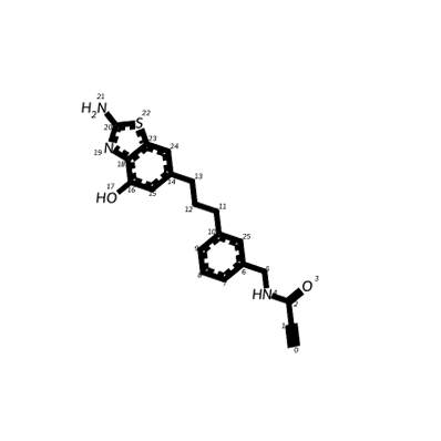 C#CC(=O)NCc1cccc(CCCc2cc(O)c3nc(N)sc3c2)c1